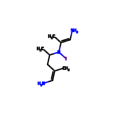 C/C(=C/N)CC(C)N(I)/C(C)=C/N